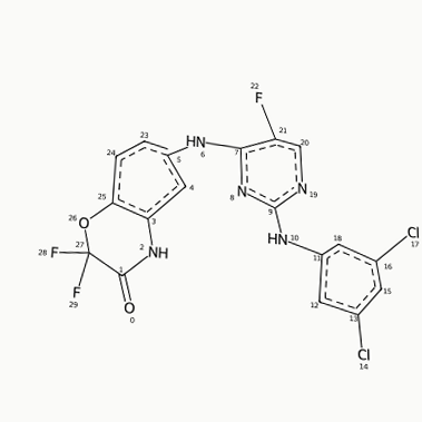 O=C1Nc2cc(Nc3nc(Nc4cc(Cl)cc(Cl)c4)ncc3F)ccc2OC1(F)F